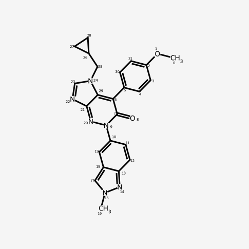 COc1ccc(-c2c(=O)n(-c3ccc4nn(C)cc4c3)nc3ncn(CC4CC4)c23)cc1